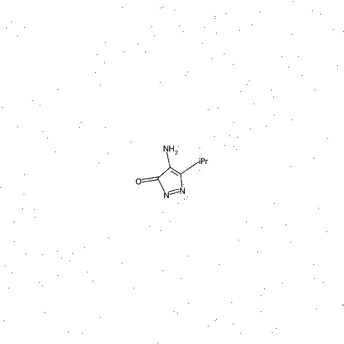 CC(C)C1=C(N)C(=O)N=N1